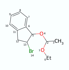 CCOC(C)OC1c2ccccc2CC1Br